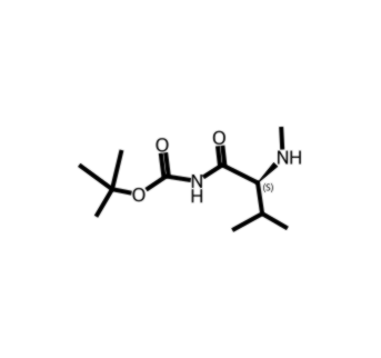 CN[C@H](C(=O)NC(=O)OC(C)(C)C)C(C)C